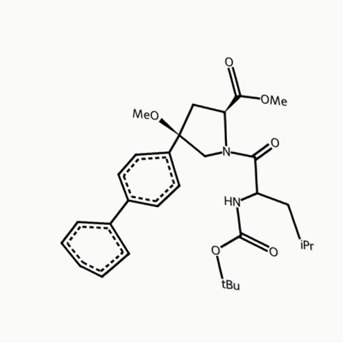 COC(=O)[C@@H]1C[C@@](OC)(c2ccc(-c3ccccc3)cc2)CN1C(=O)C(CC(C)C)NC(=O)OC(C)(C)C